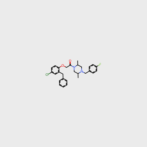 CC1CN(C(=O)COc2ccc(Cl)cc2Cc2ccccc2)C(C)CN1Cc1ccc(F)cc1